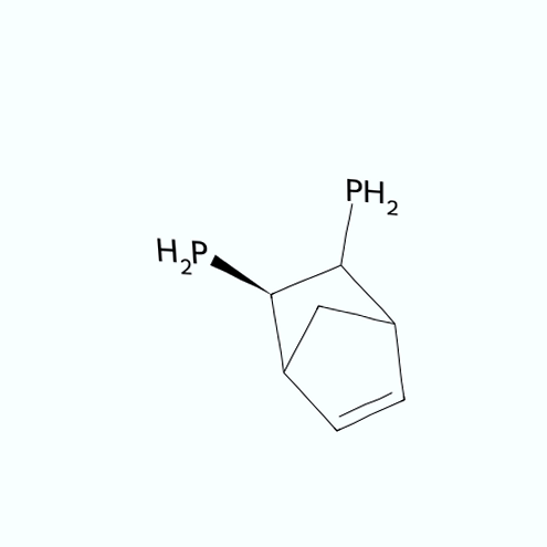 PC1C2C=CC(C2)[C@H]1P